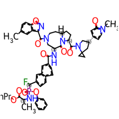 CCCOC(=O)[C@H](C)NP(=O)(Oc1ccccc1)[C@@H](F)c1ccc2ccc(C(=O)N[C@H]3CN(C(=O)c4noc5ccc(C)cc45)CC[C@H]4CC[C@@H](C(=O)N5C[C@H](c6ccn(C)c(=O)c6)CC56CC6)N4C3=O)cc2c1